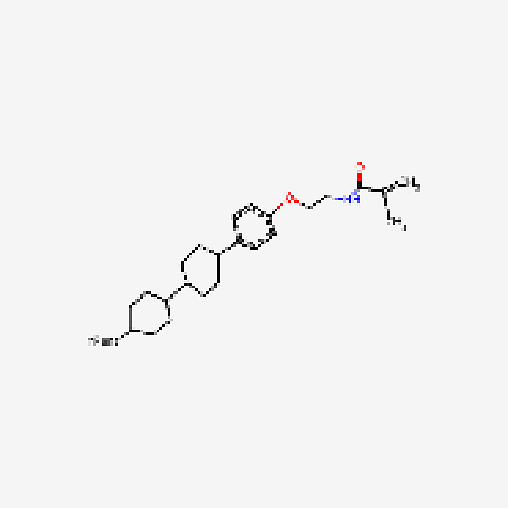 C=C(C)C(=O)NCCOc1ccc(C2CCC(C3CCC(CCCCC)CC3)CC2)cc1